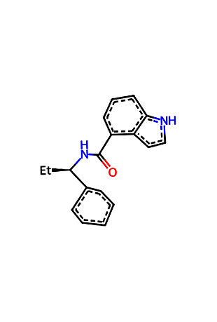 CC[C@@H](NC(=O)c1cccc2[nH]ccc12)c1ccccc1